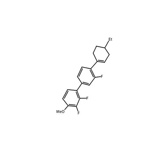 CCC1CC=C(c2ccc(-c3ccc(OC)c(F)c3F)cc2F)CC1